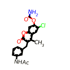 CC(=O)Nc1cccc(Cc2c(C)c3cc(Cl)c(OC(N)=O)cc3oc2=O)c1